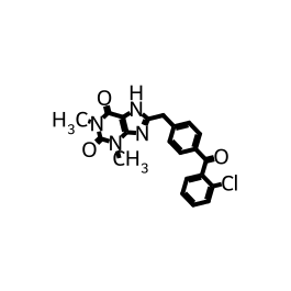 Cn1c(=O)c2[nH]c(Cc3ccc(C(=O)c4ccccc4Cl)cc3)nc2n(C)c1=O